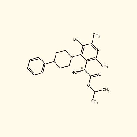 Cc1nc(C)c([C@H](O)C(=O)OC(C)C)c(N2CCC(c3ccccc3)CC2)c1Br